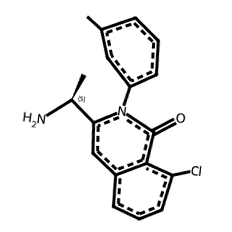 Cc1cccc(-n2c([C@H](C)N)cc3cccc(Cl)c3c2=O)c1